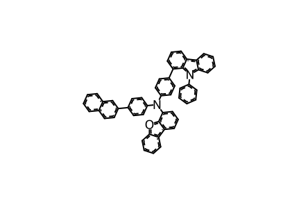 c1ccc(-n2c3ccccc3c3cccc(-c4ccc(N(c5ccc(-c6ccc7ccccc7c6)cc5)c5cccc6c5oc5ccccc56)cc4)c32)cc1